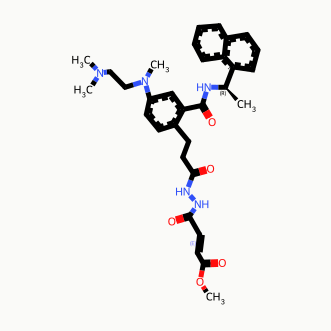 COC(=O)/C=C/C(=O)NNC(=O)CCc1ccc(N(C)CCN(C)C)cc1C(=O)N[C@H](C)c1cccc2ccccc12